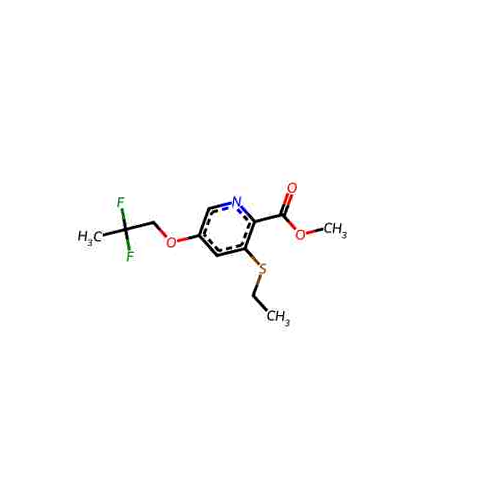 CCSc1cc(OCC(C)(F)F)cnc1C(=O)OC